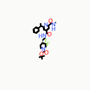 CNC(=O)c1cc(C(=O)NCC[C@H]2CCN(C(=O)OC(C)(C)C)CC2(F)F)cc(C(C)c2ccccc2)n1